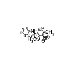 COc1c(C(=O)Nc2ccccc2)ccc(C)c1[N+](=O)[O-]